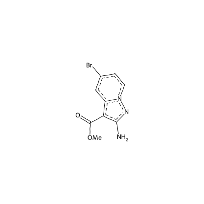 COC(=O)c1c(N)nn2ccc(Br)cc12